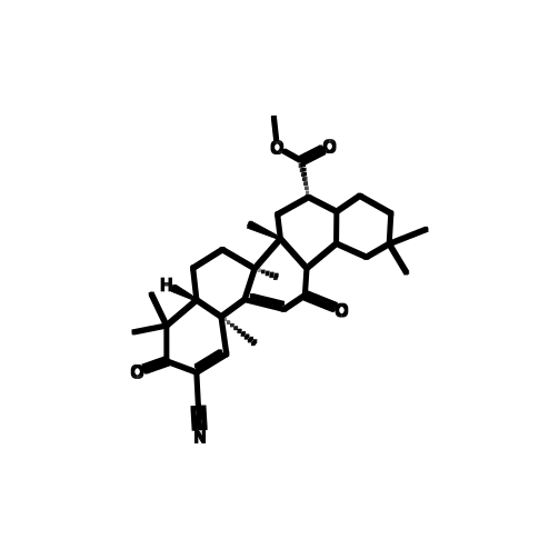 COC(=O)[C@H]1C[C@]2(C)C(C(=O)C=C3[C@@]4(C)C=C(C#N)C(=O)C(C)(C)[C@@H]4CC[C@]32C)C2CC(C)(C)CCC21